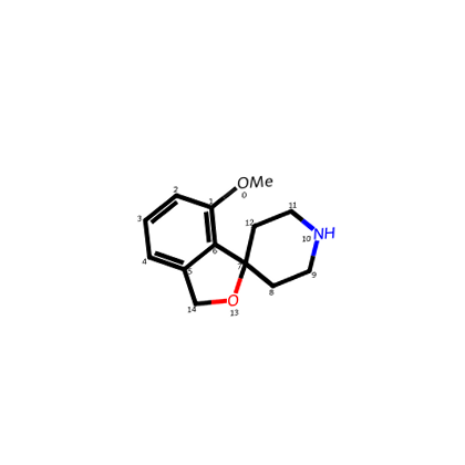 COc1cccc2c1C1(CCNCC1)OC2